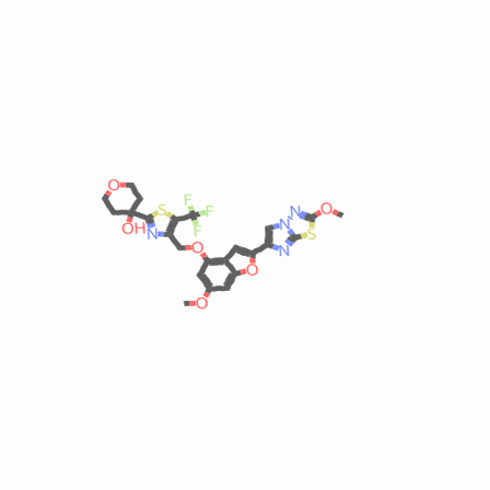 COc1cc(OCc2nc(C3(O)CCOCC3)sc2C(F)(F)F)c2cc(-c3cn4nc(OC)sc4n3)oc2c1